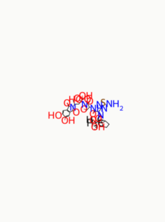 CC1(C)C2CCC1CC(O/N=C(\C(=O)N[C@H]1CON(C(O)(CC(C=O)N3C(=O)c4cc(O)c(O)cc4C3=O)C(=O)O)C1=O)c1nsc(N)n1)(C(=O)O)C2